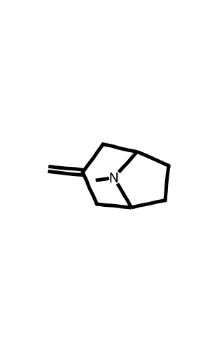 C=C1CC2CCC(C1)N2C